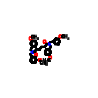 COc1cccc(CN(Cc2cccc(OC)c2)C(=O)CCCCC(=O)N(Cc2cccc(OC)c2)Cc2cccc(OC)c2)c1